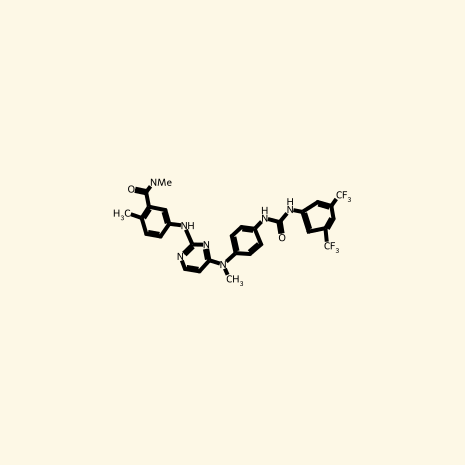 CNC(=O)c1cc(Nc2nccc(N(C)c3ccc(NC(=O)Nc4cc(C(F)(F)F)cc(C(F)(F)F)c4)cc3)n2)ccc1C